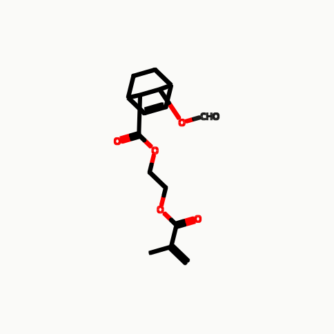 C=C(C)C(=O)OCCOC(=O)C1C2C=CC(CC2)C1OC=O